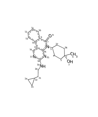 CC1(O)CCC(n2c(=O)c3ccccc3c3cnc(NCCC4CC4)nc32)CC1